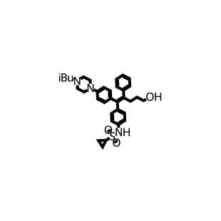 CCC(C)N1CCN(c2ccc(/C(=C(/CCCO)c3ccccc3)c3ccc(NS(=O)(=O)C4CC4)cc3)cc2)CC1